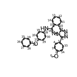 COc1ccc(-c2nnc3c4ccccc4c(Nc4ccc(Oc5ccccc5)cc4)nn23)cc1